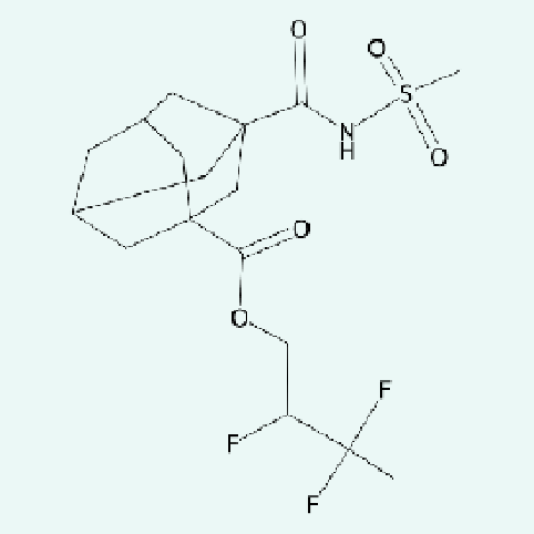 CC(F)(F)C(F)COC(=O)C12CC3CC(CC(C(=O)NS(C)(=O)=O)(C3)C1)C2